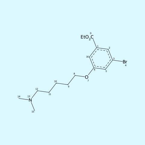 CCOC(=O)c1cc(Br)cc(OCCCCCN(C)C)c1